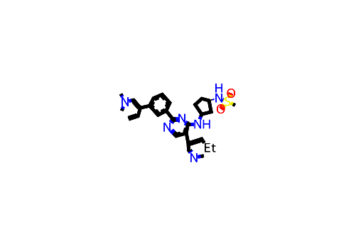 C=C/C(=C\N(C)C)c1cccc(-c2ncc(C(/C=N\C)=C/CC)c(NC3CC[C@H](NS(C)(=O)=O)C3)n2)c1